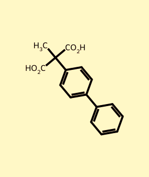 CC(C(=O)O)(C(=O)O)c1ccc(-c2ccccc2)cc1